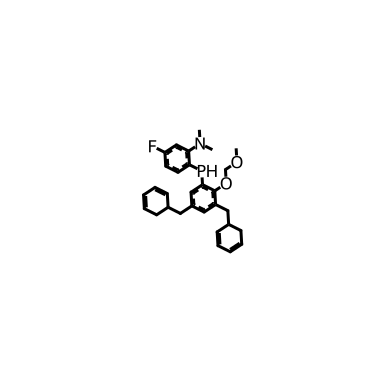 COCOc1c(CC2C=CC=CC2)cc(CC2C=CC=CC2)cc1Pc1ccc(F)cc1N(C)C